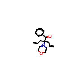 C=CCC(CC=C)(C(=O)c1ccccc1)N1CCOCC1